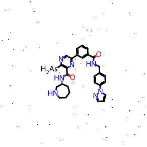 O=C(NCc1ccc(-n2cccn2)cc1)c1cccc(-c2cnc([AsH2])c(C(=O)N[C@H]3CCCCNC3)n2)c1